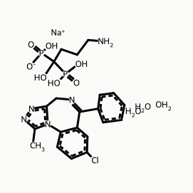 Cc1nnc2n1-c1ccc(Cl)cc1C(c1ccccc1)=NC2.NCCCC(O)(P(=O)([O-])O)P(=O)(O)O.O.O.O.[Na+]